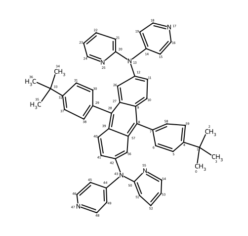 CC(C)(C)c1ccc(-c2c3ccc(N(c4ccncc4)c4ccccn4)cc3c(-c3ccc(C(C)(C)C)cc3)c3ccc(N(c4ccncc4)c4ccccn4)cc23)cc1